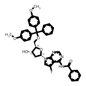 COc1ccc(C(OC[C@H]2O[C@H](n3cc(F)c4c(NC(=O)c5ccccc5)ncnc43)C[C@@H]2O)(c2ccccc2)c2ccc(OC)cc2)cc1